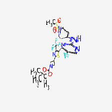 CC(C)(C)OC(=O)N1CC(c2nc(C(F)(F)F)c(-c3nc(NC4CCN(S(C)(=O)=O)CC4)ncc3F)s2)C1